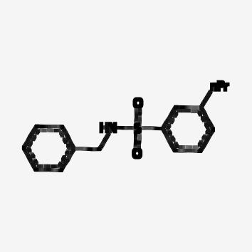 CCCc1cccc(S(=O)(=O)NCc2ccccc2)c1